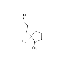 CN1CCCC1(C)CCCO